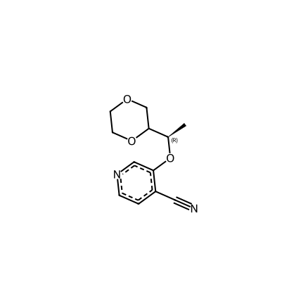 C[C@@H](Oc1cnccc1C#N)C1COCCO1